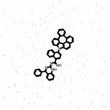 N=C(/N=c1/nc(-c2ccccc2)c2ccccc2[nH]1)c1ccc(-n2c3cccc4c3c3c5c(cccc5ccc32)-c2ccccc2-4)c2ccccc12